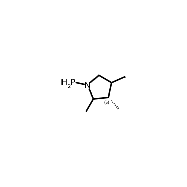 CC1CN(P)C(C)[C@H]1C